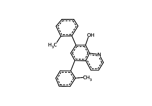 Cc1ccccc1-c1cc(-c2ccccc2C)c2cccnc2c1O